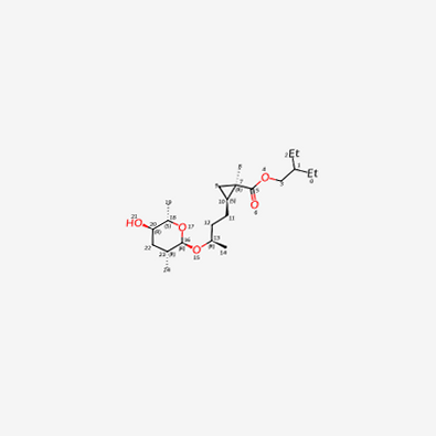 CCC(CC)COC(=O)[C@]1(C)C[C@@H]1CC[C@@H](C)O[C@@H]1O[C@@H](C)[C@H](O)C[C@H]1C